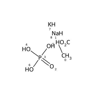 CC(=O)O.O=P(O)(O)O.[KH].[NaH]